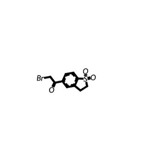 O=C(CBr)c1ccc2c(c1)CCS2(=O)=O